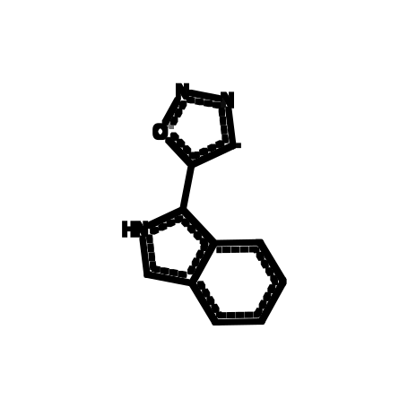 [c]1nnoc1-c1[nH]cc2ccccc12